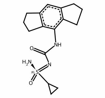 N[S@@](=O)(=NC(=O)Nc1c2c(cc3c1CCC3)CCC2)C1CC1